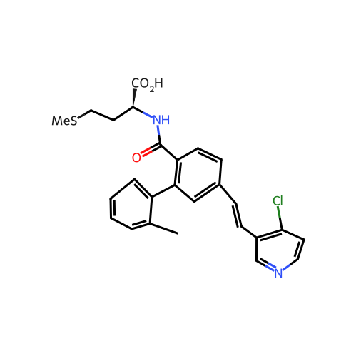 CSCC[C@H](NC(=O)c1ccc(C=Cc2cnccc2Cl)cc1-c1ccccc1C)C(=O)O